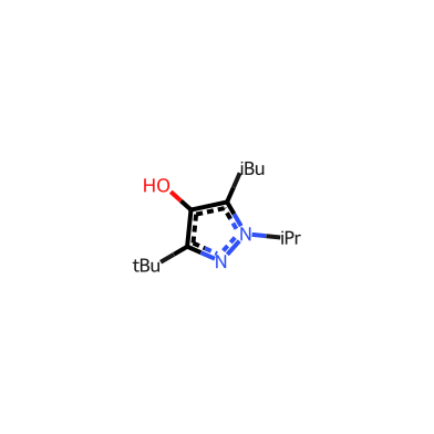 CCC(C)c1c(O)c(C(C)(C)C)nn1C(C)C